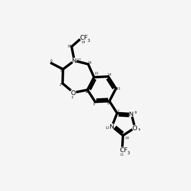 CC1COc2cc(-c3noc(C(F)(F)F)n3)ccc2CN1CC(F)(F)F